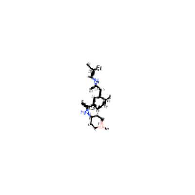 C=C(NC1CCB(C)CC1)c1ccc(C)c(C/C(C)=N/C=C(/C)CC)c1